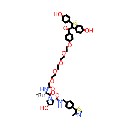 Cc1ncsc1-c1ccc(CNC(=O)[C@@H]2C[C@@H](O)CN2C(=O)[C@@H](NC(=O)COCCOCCOCCOCCOc2ccc(C(=O)c3c(-c4ccc(O)cc4)sc4cc(O)ccc34)cc2)C(C)(C)C)cc1